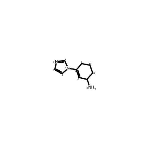 NC1C=C(n2ccnc2)CCC1